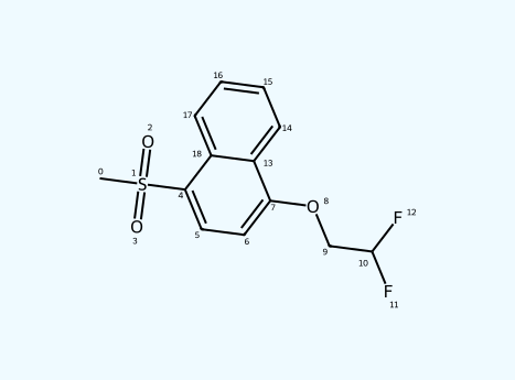 CS(=O)(=O)c1ccc(OCC(F)F)c2ccccc12